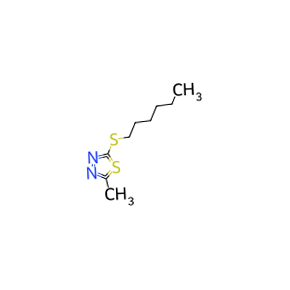 CCCCCCSc1nnc(C)s1